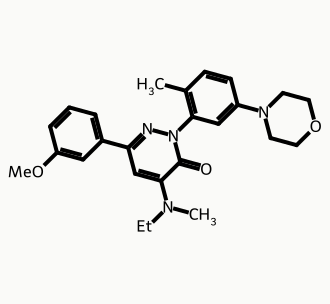 CCN(C)c1cc(-c2cccc(OC)c2)nn(-c2cc(N3CCOCC3)ccc2C)c1=O